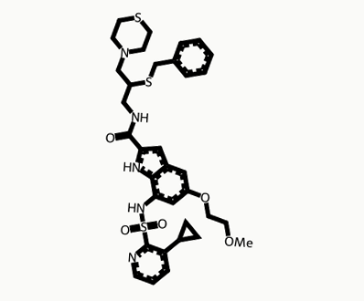 COCCOc1cc(NS(=O)(=O)c2ncccc2C2CC2)c2[nH]c(C(=O)NCC(CN3CCSCC3)SCc3ccccc3)cc2c1